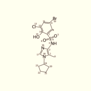 Cc1c(NS(=O)(=O)c2cc(Br)cc(Cl)c2O)ncn1C1CCCC1